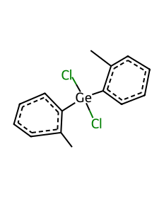 Cc1cccc[c]1[Ge]([Cl])([Cl])[c]1ccccc1C